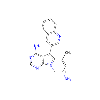 CC1=C[C@H](N)Cn2c1c(-c1cnc3ccccc3c1)c1c(N)ncnc12